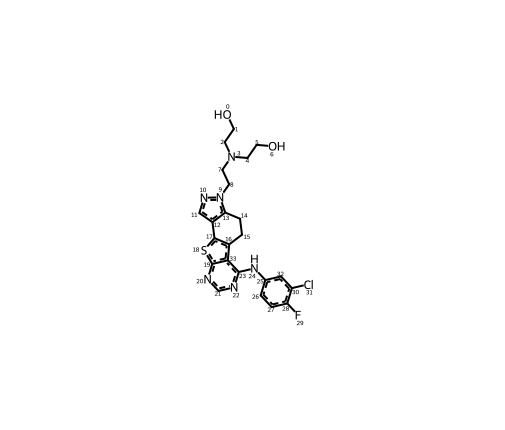 OCCN(CCO)CCn1ncc2c1CCc1c-2sc2ncnc(Nc3ccc(F)c(Cl)c3)c12